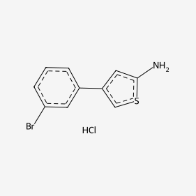 Cl.Nc1cc(-c2cccc(Br)c2)cs1